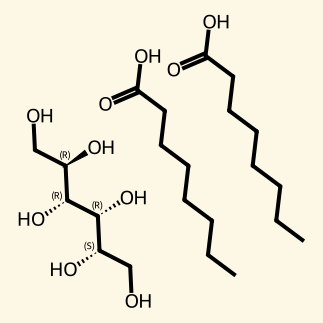 CCCCCCCC(=O)O.CCCCCCCC(=O)O.OC[C@@H](O)[C@@H](O)[C@H](O)[C@@H](O)CO